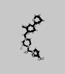 CC(=O)c1ccn(C(=O)N2CCN(Cc3ccc(-c4ccccn4)cc3C)C[C@H]2C)n1